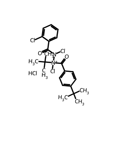 CC(C)(C)c1ccc(C(=O)[N+](Cl)(N(Cl)C(=O)c2ccccc2Cl)C(C)(C)C)cc1.Cl